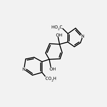 O=C(O)c1cnccc1C1(O)C=CC(O)(c2ccncc2C(=O)O)C=C1